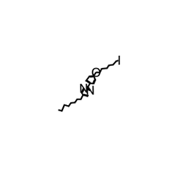 CCCCCCCCc1cnc(-c2ccc(OCCCCCCI)cc2)nc1